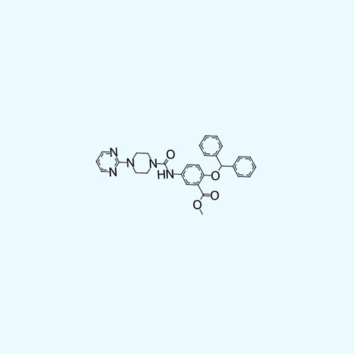 COC(=O)c1cc(NC(=O)N2CCN(c3ncccn3)CC2)ccc1OC(c1ccccc1)c1ccccc1